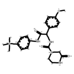 COc1ccc(C(NC(=O)N2CCNC(=O)C2)C(=O)Nc2ccc(S(C)(C)C)cc2)cc1